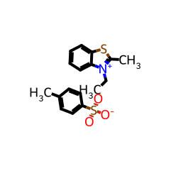 CC[n+]1c(C)sc2ccccc21.Cc1ccc(S(=O)(=O)[O-])cc1